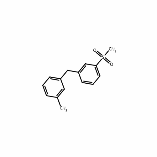 Cc1cccc(Cc2cccc(S(C)(=O)=O)c2)c1